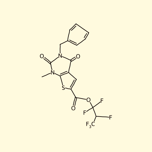 Cn1c(=O)n(Cc2ccccc2)c(=O)c2cc(C(=O)OC(F)(F)C(F)C(F)(F)F)sc21